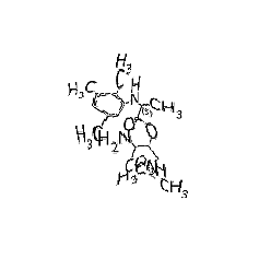 Cc1cc(C)c(C)c(N[C@@H](C)C(=O)OC(CN(C)C)C(N)C(=O)O)c1